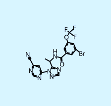 CC(NC(=O)c1cc(Br)cc(OC(F)(F)F)c1)c1ncnn1-c1cc(C#N)ncn1